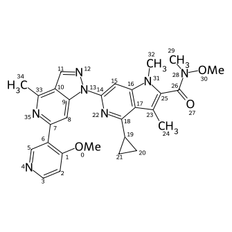 COc1ccncc1-c1cc2c(cnn2-c2cc3c(c(C4CC4)n2)c(C)c(C(=O)N(C)OC)n3C)c(C)n1